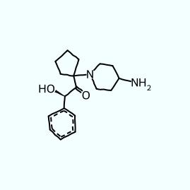 NC1CCN(C2(C(=O)[C@H](O)c3ccccc3)CCCC2)CC1